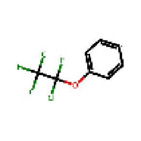 FC(Cl)(Cl)C(F)(Cl)Oc1cc[c]cc1